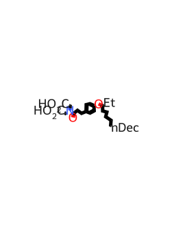 CCCCCCCCCCCCCCCC(CC)Oc1ccc(CCC(=O)N(CC(=O)O)CC(=O)O)cc1